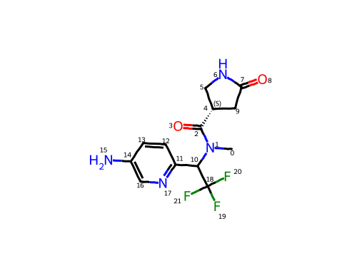 CN(C(=O)[C@@H]1CNC(=O)C1)C(c1ccc(N)cn1)C(F)(F)F